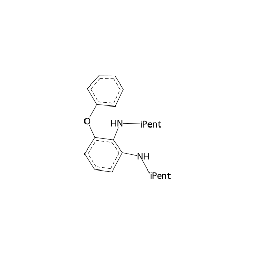 CCCC(C)Nc1cccc(Oc2ccccc2)c1NC(C)CCC